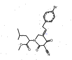 COC(=O)C(CC(C)C)N1C/C(=C\Cc2ccc(Br)cc2)C(=O)C(C#N)C1=O